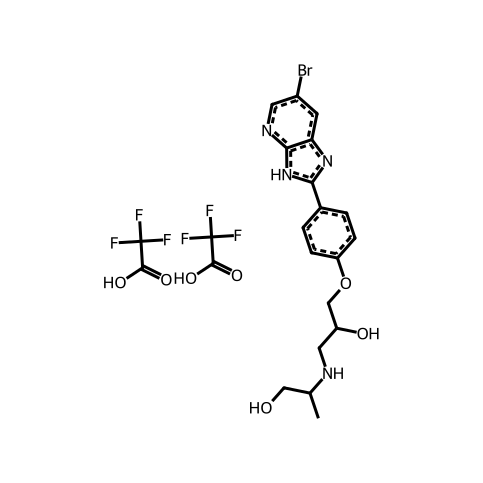 CC(CO)NCC(O)COc1ccc(-c2nc3cc(Br)cnc3[nH]2)cc1.O=C(O)C(F)(F)F.O=C(O)C(F)(F)F